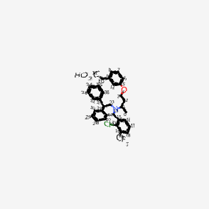 CC(CCOc1cccc(CC(=O)O)c1)N(Cc1cccc(C(F)(F)F)c1Cl)CC(c1ccccc1)c1ccccc1